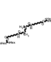 CCCCCCC(CCCCCC)COC(=O)CCCCCCCNC(=O)CCN(C)CCCN(C)CCC(=O)NCCCCCCCC(=O)OCC(CCCCCC)CCCCCC